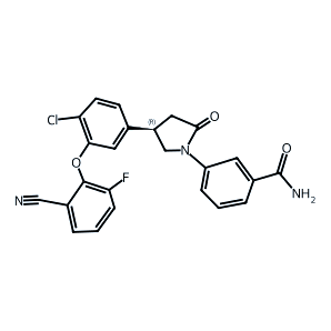 N#Cc1cccc(F)c1Oc1cc([C@H]2CC(=O)N(c3cccc(C(N)=O)c3)C2)ccc1Cl